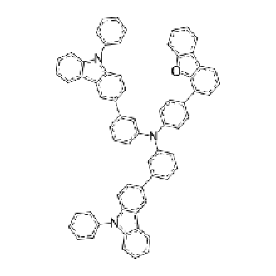 c1ccc(-n2c3ccccc3c3cc(-c4cccc(N(c5ccc(-c6cccc7c6oc6ccccc67)cc5)c5cccc(-c6ccc7c(c6)c6ccccc6n7-c6ccccc6)c5)c4)ccc32)cc1